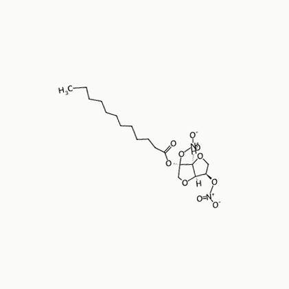 CCCCCCCCCCCC(=O)O[C@@]1(O[N+](=O)[O-])CO[C@@H]2[C@H](O[N+](=O)[O-])CO[C@@H]21